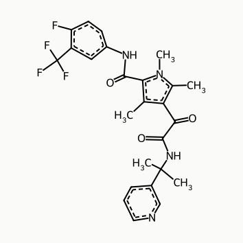 Cc1c(C(=O)C(=O)NC(C)(C)c2cccnc2)c(C)n(C)c1C(=O)Nc1ccc(F)c(C(F)(F)F)c1